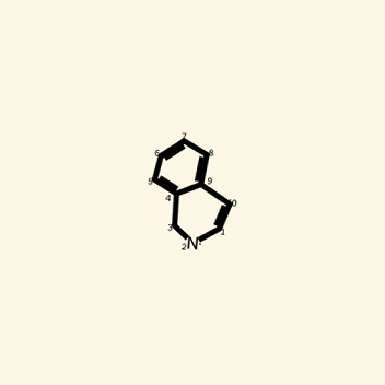 [C]1=C[N]Cc2ccccc21